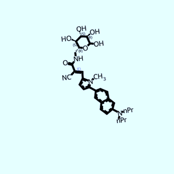 CCCN(CCC)c1ccc2cc(-c3ccc(/C=C(\C#N)C(=O)NC[C@H]4OC(O)[C@H](O)[C@@H](O)[C@@H]4O)n3C)ccc2c1